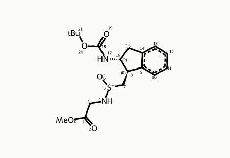 COC(=O)CN[S+]([O-])C[C@@H]1c2ccccc2C[C@H]1NC(=O)OC(C)(C)C